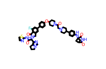 O=C1NC(=O)C2(Nc3ccc(C4CCN(CC(=O)N5CCC(Oc6ccc(-c7cc(F)c8c(c7)CN(C(C(=O)Nc7nccs7)c7ncn9c7CCC9)C8=O)cc6)CC5)CC4)cc3)CC1C2